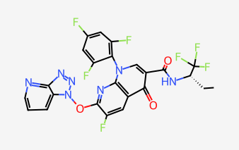 CC[C@H](NC(=O)c1cn(-c2c(F)cc(F)cc2F)c2nc(On3nnc4ncccc43)c(F)cc2c1=O)C(F)(F)F